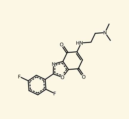 CN(C)CCNC1=CC(=O)c2oc(-c3cc(F)ccc3F)nc2C1=O